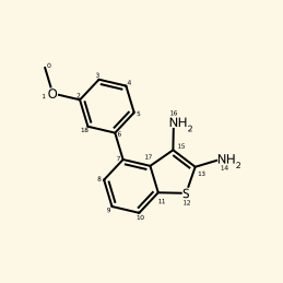 COc1cccc(-c2cccc3sc(N)c(N)c23)c1